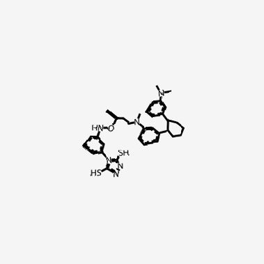 C=C(CCN(C)c1cccc(C2CCCCC2c2cccc(N(C)C)c2)c1)ONc1cccc(-n2c(S)nnc2S)c1